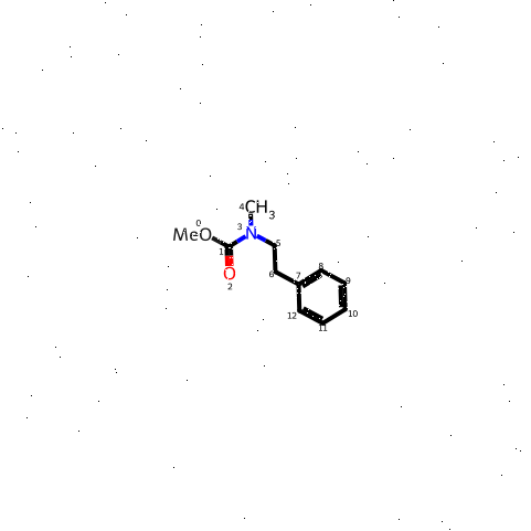 [CH2]OC(=O)N(C)CCc1ccccc1